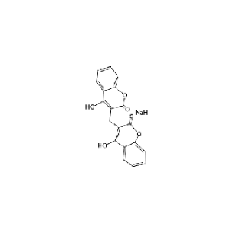 O=c1oc2ccccc2c(O)c1Cc1c(O)c2ccccc2oc1=O.[NaH]